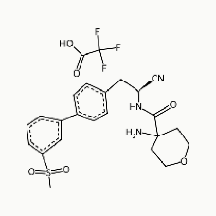 CS(=O)(=O)c1cccc(-c2ccc(C[C@@H](C#N)NC(=O)C3(N)CCOCC3)cc2)c1.O=C(O)C(F)(F)F